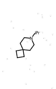 CC(C)N1CCC2(CCC2)CC1